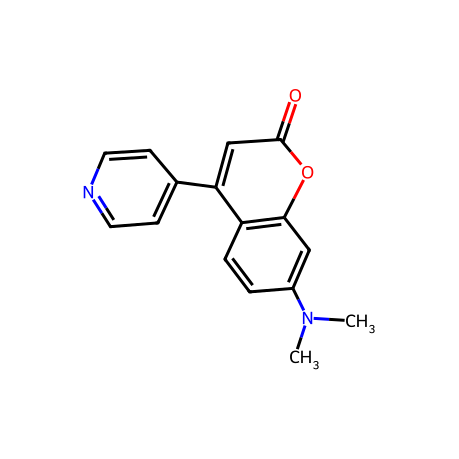 CN(C)c1ccc2c(-c3ccncc3)cc(=O)oc2c1